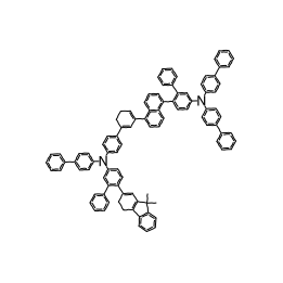 CC1(C)C2=C(CCC(c3ccc(N(c4ccc(C5=CC(c6cccc7c(-c8ccc(N(c9ccc(-c%10ccccc%10)cc9)c9ccc(-c%10ccccc%10)cc9)cc8-c8ccccc8)cccc67)=CCC5)cc4)c4ccc(-c5ccccc5)cc4)cc3-c3ccccc3)=C2)c2ccccc21